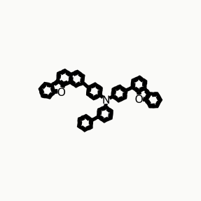 c1ccc(-c2cccc(N(c3ccc(-c4ccc5ccc6c7ccccc7oc6c5c4)cc3)c3ccc(-c4cccc5c4oc4ccccc45)cc3)c2)cc1